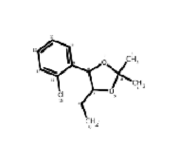 [CH2]CC1OC(C)(C)OC1c1ccccc1Cl